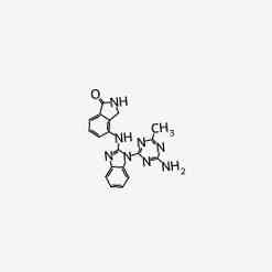 Cc1nc(N)nc(-n2c(Nc3cccc4c3CNC4=O)nc3ccccc32)n1